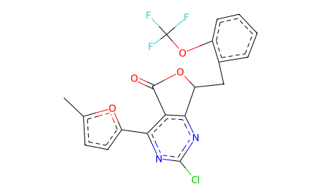 Cc1ccc(-c2nc(Cl)nc3c2C(=O)OC3Cc2ccccc2OC(F)(F)F)o1